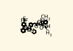 CCNC(=O)C(COC(=O)Cc1ccc(NC(=O)c2ccccc2-c2ccc(C(F)(F)F)cc2)c(C(=O)N2CCCCC2)c1)(C(=O)NCC)c1ccccc1